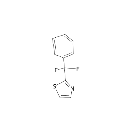 FC(F)(c1ccccc1)c1nccs1